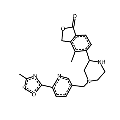 Cc1noc(-c2ccc(CN3CCNC(c4ccc5c(c4C)COC5=O)C3)cn2)n1